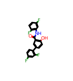 O=C(Nc1cc(F)ccc1F)c1cc(-c2ccc(F)cc2F)ccc1O